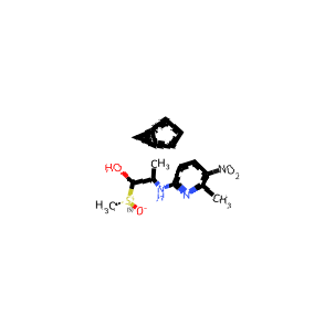 Cc1nc(NC(C)C(O)[S@@+](C)[O-])ccc1[N+](=O)[O-].c1cc2cc-2c1